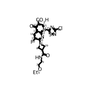 CCOCCNC(=O)C1CN(c2nc3c(cc2F)c(=O)c(C(=O)O)cn3-c2nc(Cl)ns2)C1